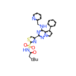 CC(C)(C)CC(=O)NS(=O)(=O)c1nc(-c2nc(NCc3ccccn3)c3c(-c4ccccc4)ccn3n2)cs1